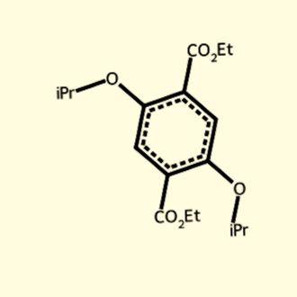 CCOC(=O)c1cc(OC(C)C)c(C(=O)OCC)cc1OC(C)C